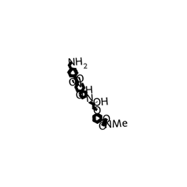 CNS(=O)(=O)c1cccc(OC[C@@H](O)CNC2COC3(CCN(S(=O)(=O)c4ccc(CN)cc4)CC3)C2)c1